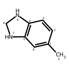 Cc1ccc2c(c1)NCN2